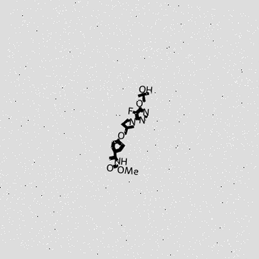 C=C(NC(=O)OC)c1ccc(OCC2CCN(c3ncnc(OCC(C)(C)O)c3F)C2)cc1